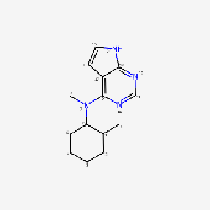 CC1CCCCC1N(C)c1ncnc2[nH]ccc12